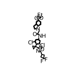 CCS(=O)(=O)c1ccc2c(ccn2CC(=O)Nc2cc(Cl)c(C3(c4noc(C5CC(F)(F)C5)n4)CC3)c(Cl)c2)c1